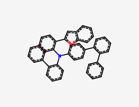 c1ccc(-c2ccccc2-c2ccc(N(c3ccccc3-c3ccccc3)c3ccccc3-c3cc4ccccc4o3)cc2)cc1